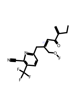 C=C(CC)C(=O)/C=C(\COF)Cc1ccc(C(F)(F)F)c(C#N)n1